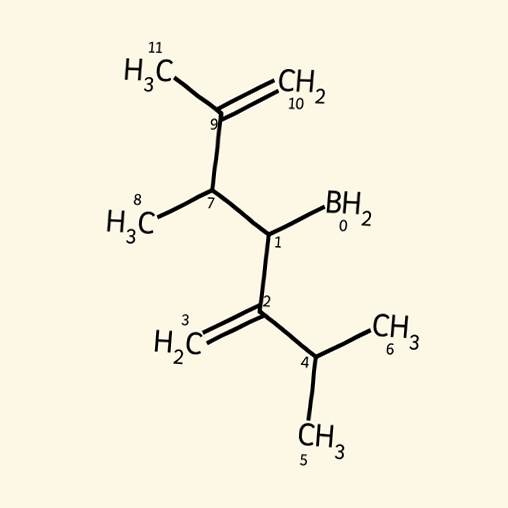 BC(C(=C)C(C)C)C(C)C(=C)C